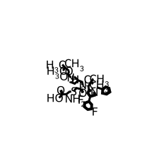 CC(C)(C)OC(=O)N1CCC(CN(C(=O)CSCC(N)C(=O)O)[C@@H](c2cc(-c3cc(F)ccc3F)cn2Cc2ccccc2)C(C)(C)C)C1